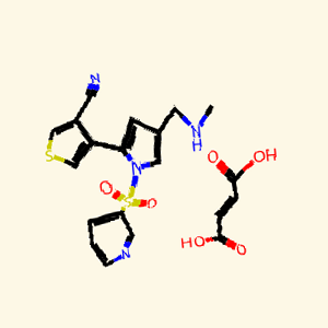 CNCc1cc(-c2cscc2C#N)n(S(=O)(=O)c2cccnc2)c1.O=C(O)/C=C/C(=O)O